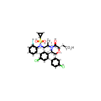 O=C(O)C[C@@H]1O[C@H](c2cccc(Cl)c2)[C@@H](c2ccc(Cl)cc2)N(C(CN(c2ccccc2F)S(=O)(=O)C2CC2)C(F)(F)F)C1=O